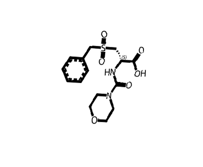 O=C(O)[C@@H](CS(=O)(=O)Cc1ccccc1)NC(=O)N1CCOCC1